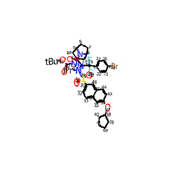 CC(C)N(C(C(=O)N1C2CCC1CC(NC(=O)OC(C)(C)C)C2)C(F)(F)c1ccc(Br)cc1)S(=O)(=O)c1ccc2cc(OC3CCCC3)ccc2c1